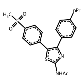 [CH2]CCc1ccc(-c2nc(NC(C)=O)sc2-c2ccc(S(C)(=O)=O)cc2)cc1